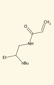 C=CC(=O)NCC(CC)CCCC